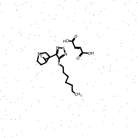 CCCCCCCSc1nsnc1C1CN2CCC1CC2.O=C(O)C=CC(=O)O